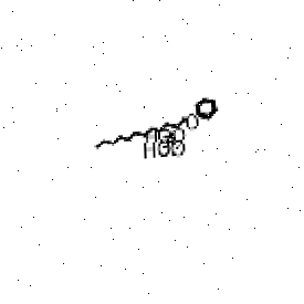 CCCCCCCCCCC(COc1ccccc1)OP(=O)(O)O